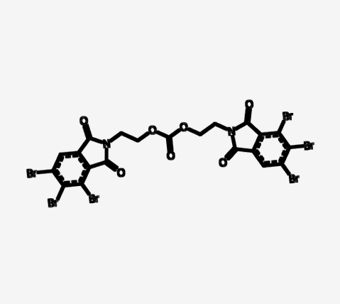 O=C(OCCN1C(=O)c2cc(Br)c(Br)c(Br)c2C1=O)OCCN1C(=O)c2cc(Br)c(Br)c(Br)c2C1=O